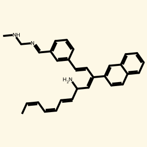 C\C=C/C=C\C=C\C(N)/C=C(\C=C\c1cccc(/C=N/CNC)c1)c1ccc2ccccc2c1